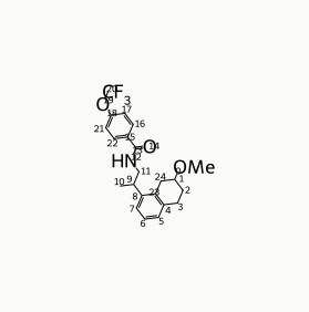 COC1CCc2cccc(C(C)CNC(=O)c3ccc(OC(F)(F)F)cc3)c2C1